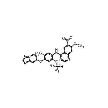 [2H]C([2H])([2H])Oc1cc(Oc2ccn3ncnc3c2)c(C)cc1Nc1ncnc2cc(OC)c([N+](=O)[O-])cc12